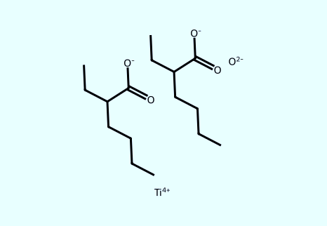 CCCCC(CC)C(=O)[O-].CCCCC(CC)C(=O)[O-].[O-2].[Ti+4]